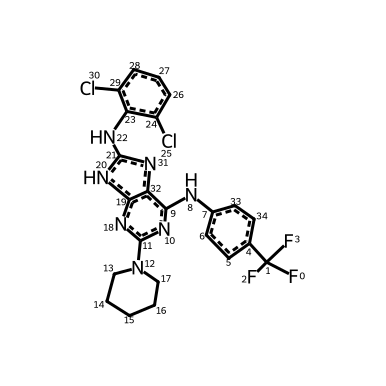 FC(F)(F)c1ccc(Nc2nc(N3CCCCC3)nc3[nH]c(Nc4c(Cl)cccc4Cl)nc23)cc1